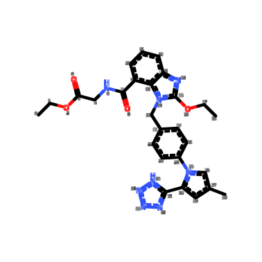 CCOC(=O)CNC(=O)c1cccc2nc(OCC)n(Cc3ccc(-n4cc(C)cc4-c4nnn[nH]4)cc3)c12